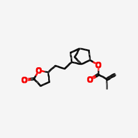 C=C(C)C(=O)OC1CC2CC(CCC3CCC(=O)O3)C1C2